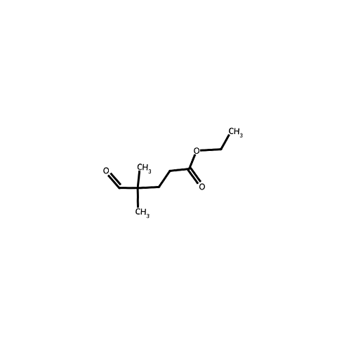 CCOC(=O)CCC(C)(C)C=O